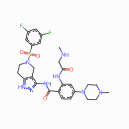 CNCC(=O)Nc1cc(N2CCN(C)CC2)ccc1C(=O)Nc1n[nH]c2c1CN(S(=O)(=O)c1cc(F)cc(F)c1)CC2